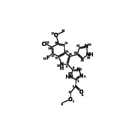 COCC(=O)c1nnc(-c2[nH]c3c(F)c(Cl)c(OC)cc3c2-c2cn[nH]c2)[nH]1